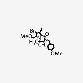 COCc1c(Br)c(I)c2n1C(C)(C)CN(Cc1ccc(OC)cc1)C2=O